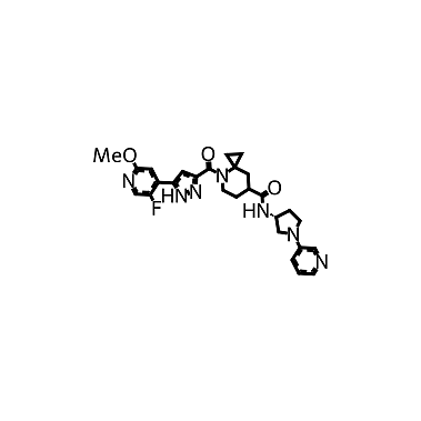 COc1cc(-c2cc(C(=O)N3CCC(C(=O)N[C@@H]4CCN(c5cccnc5)C4)CC34CC4)n[nH]2)c(F)cn1